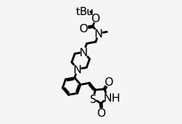 CN(CCN1CCN(c2ccccc2/C=C2\SC(=O)NC2=O)CC1)C(=O)OC(C)(C)C